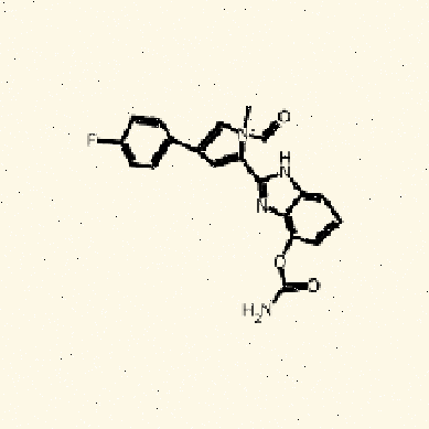 C[N+]1(C=O)C=C(c2ccc(F)cc2)C=C1c1nc2c(OC(N)=O)cccc2[nH]1